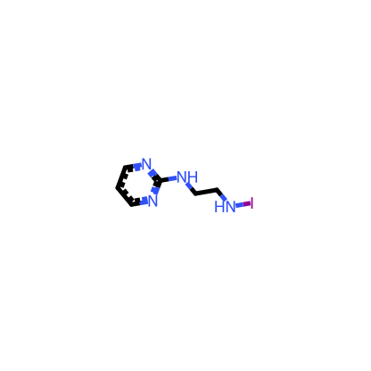 INCCNc1ncccn1